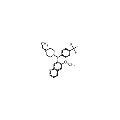 CCN1CCN(C(c2ccc(C(F)(F)F)cc2)c2cc3ncccc3cc2OC)CC1